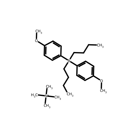 CCCC[B-](CCCC)(c1ccc(OC)cc1)c1ccc(OC)cc1.C[N+](C)(C)C